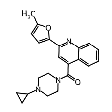 Cc1ccc(-c2cc(C(=O)N3CCN(C4CC4)CC3)c3ccccc3n2)o1